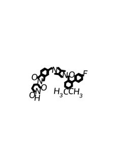 CC1(C)CCC(C(=O)N2CC3CN(Cc4ccc5c(c4)CN(C4CCC(=O)NC4=O)C5=O)CC3C2)=C(c2ccc(F)cc2)C1